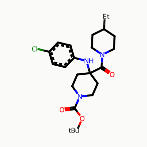 CCC1CCN(C(=O)C2(Nc3ccc(Cl)cc3)CCN(C(=O)OC(C)(C)C)CC2)CC1